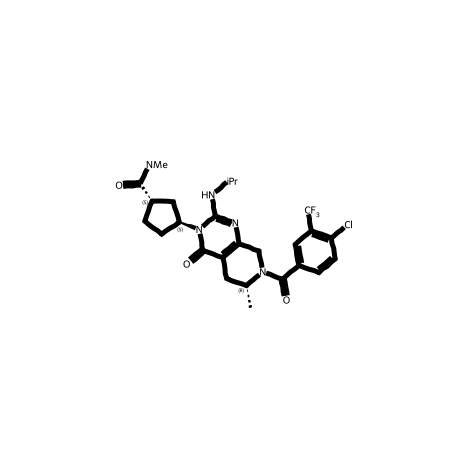 CNC(=O)[C@H]1CC[C@H](n2c(NC(C)C)nc3c(c2=O)C[C@@H](C)N(C(=O)c2ccc(Cl)c(C(F)(F)F)c2)C3)C1